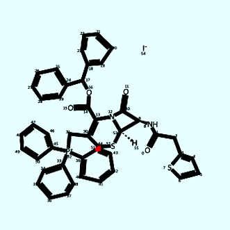 O=C(Cc1cccs1)N[C@@H]1C(=O)N2C(C(=O)OC(c3ccccc3)c3ccccc3)=C(C[P+](c3ccccc3)(c3ccccc3)c3ccccc3)CS[C@H]12.[I-]